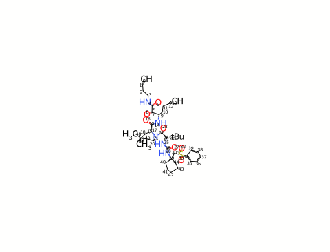 C#CCCNC(=O)C(=O)C(CCC#C)NC(=O)[C@@H]1C2C(CN1C(=O)[C@@H](NC(=O)NC1(CS(=O)(=O)c3ccccc3)CCCCC1)C(C)(C)C)C2(C)C